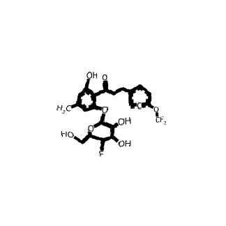 Cc1cc(O)c(C(=O)CCc2ccc(OC(F)(F)F)cc2)c(OC2OC(CO)C(F)C(O)C2O)c1